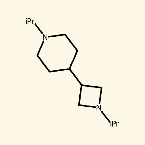 CC(C)N1CCC(C2CN(C(C)C)C2)CC1